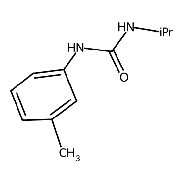 Cc1cccc(NC(=O)NC(C)C)c1